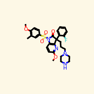 COc1ccc2c(n1)C(CCCN1CCNCC1)(c1ccccc1F)C(=O)N2S(=O)(=O)c1ccc(OC)c(C)c1